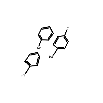 Oc1ccccc1.Sc1ccc(Cl)cc1.Sc1ccccc1